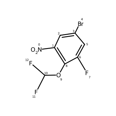 O=[N+]([O-])c1cc(Br)cc(F)c1OC(F)F